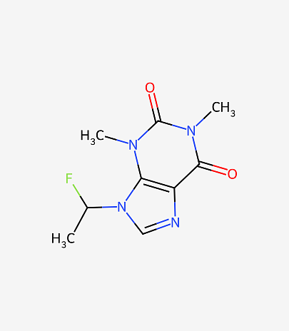 CC(F)n1cnc2c(=O)n(C)c(=O)n(C)c21